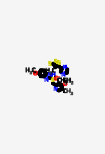 COc1ccc2[nH]c([S+]([O-])Cc3ncc(C)c(OC)c3C)nc2c1.Cc1c(-c2cnccn2)ssc1=S